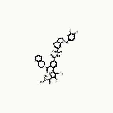 CCCCN(CCCC)C(=O)c1nn(-c2ccc(C(=O)NS(=O)(=O)C3=CCC4CCN(Cc5ccc(Cl)c(Cl)c5)C4=C3)cc2C(=O)N2CCc3ccccc3C2)c(C)c1Cl